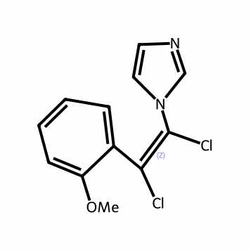 COc1ccccc1/C(Cl)=C(/Cl)n1ccnc1